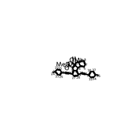 COC(=O)C12C3c4ccccc4[C@@H]1[C@@]2(C(=O)OC)c1c(C#Cc2ccc(C)cc2)ccc(C#Cc2ccc(C)cc2)c13